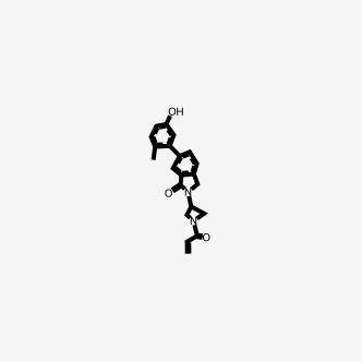 C=CC(=O)N1CC(N2Cc3ccc(-c4cc(O)ccc4C)cc3C2=O)C1